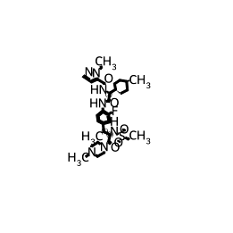 CCn1nccc1C(=O)N[C@H](C(=O)Nc1ccc([C@H](C)[C@@H](NS(=O)(=O)CC)C(=O)N2CCN(C)CC2)cc1F)[C@H]1CC[C@H](C)CC1